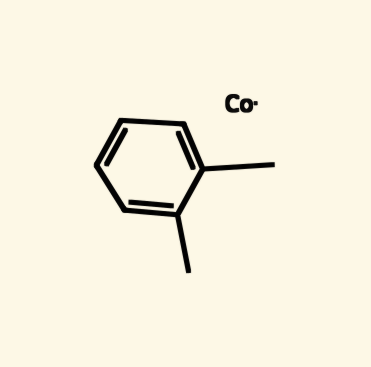 Cc1ccccc1C.[Co]